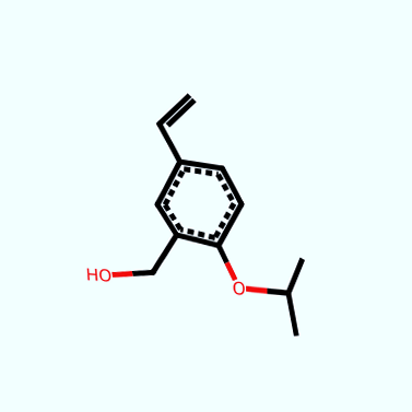 C=Cc1ccc(OC(C)C)c(CO)c1